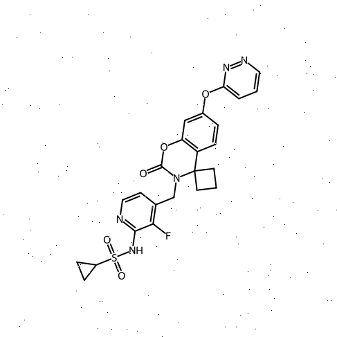 O=C1Oc2cc(Oc3cccnn3)ccc2C2(CCC2)N1Cc1ccnc(NS(=O)(=O)C2CC2)c1F